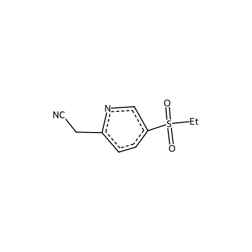 CCS(=O)(=O)c1ccc(CC#N)nc1